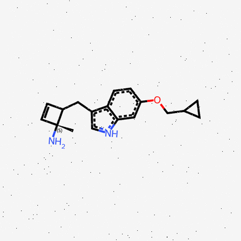 C[C@@]1(N)C=CC1Cc1c[nH]c2cc(OCC3CC3)ccc12